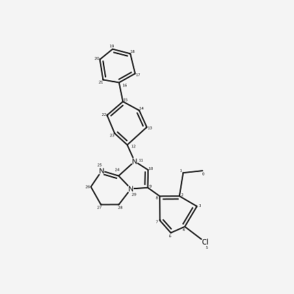 CCc1cc(Cl)ccc1C1=CN(c2ccc(-c3ccccc3)cc2)C2=NCCCN12